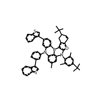 Cc1cc2c3c(c1)N(c1c(C)cc(C(C)(C)C)cc1C)c1oc4c(c1B3c1ccc(-c3csc5ccccc35)cc1N2c1cccc(-c2csc3ccccc23)c1)CC(C(C)(C)C)C=C4